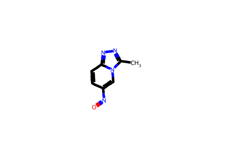 Cc1nnc2ccc(N=O)cn12